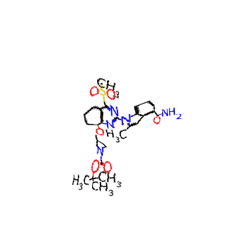 Cc1cc2c(C(N)=O)cccc2n1-c1nc2c(c(S(C)(=O)=O)n1)CCC[C@@H]2OCC1CN(C(=O)OC(C)(C)C)C1